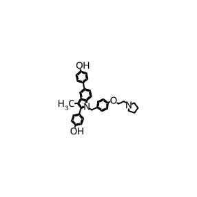 Cc1c(-c2ccc(O)cc2)n(Cc2ccc(OCCN3CCCC3)cc2)c2ccc(-c3ccc(O)cc3)cc12